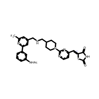 CC(=O)Nc1cccc(-c2cc(CNCC3CCN(c4nccc(/C=C5\SC(=O)NC5=O)n4)CC3)cc(C(F)(F)F)n2)c1